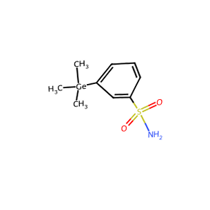 [CH3][Ge]([CH3])([CH3])[c]1cccc(S(N)(=O)=O)c1